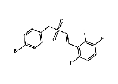 O=S(=O)(/C=C/c1c(F)ccc(F)c1F)Cc1ccc(Br)cc1